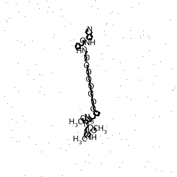 COC[C@H]1CN[C@H](C)CN1CC(=O)N1CC(C)(C)c2ncc(Cc3cccc(OCCOCCOCCOCCOCCOCCOCCOCCNC[C@@H](C(=O)Nc4ccc5cnccc5c4)c4ccccc4)c3)cc21